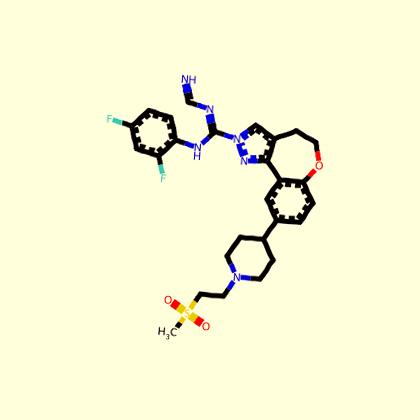 CS(=O)(=O)CCN1CCC(c2ccc3c(c2)-c2nn(/C(=N/C=N)Nc4ccc(F)cc4F)cc2CCO3)CC1